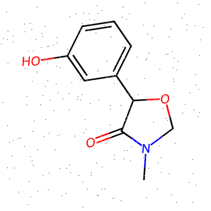 CN1COC(c2cccc(O)c2)C1=O